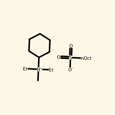 CCCCCCCCS(=O)(=O)[O-].CC[N+](C)(CC)C1CCCCC1